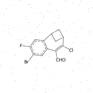 O=CC1=C(Cl)C2CC(C2)c2cc(F)c(Br)cc21